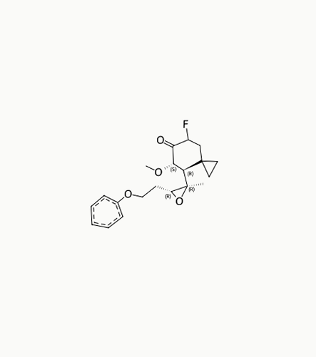 CO[C@@H]1C(=O)C(F)CC2(CC2)[C@H]1[C@@]1(C)O[C@@H]1CCOc1ccccc1